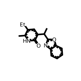 CCc1cc(C(C)c2nc3ccccc3o2)c(=O)[nH]c1C